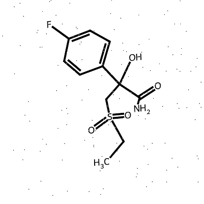 CCS(=O)(=O)CC(O)(C(N)=O)c1ccc(F)cc1